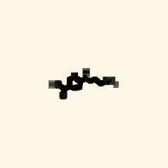 NCCCNc1ccc(C(=O)O)cn1